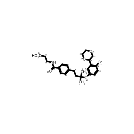 CC(C)(CCc1ccc(C(=O)NCCC(=O)O)cc1)Oc1ccc(Br)c(C2COCCO2)c1